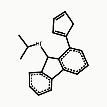 C[CH](C)[Hf][CH]1c2ccccc2-c2cccc(C3=CC=CC3)c21